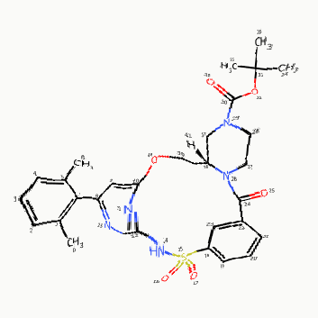 Cc1cccc(C)c1-c1cc2nc(n1)NS(=O)(=O)c1cccc(c1)C(=O)N1CCN(C(=O)OC(C)(C)C)C[C@H]1CO2